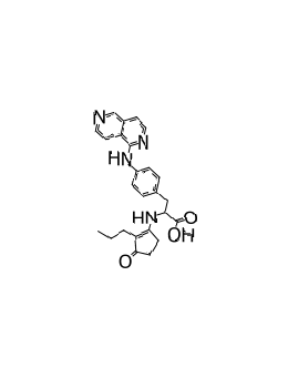 CCCC1=C(NC(Cc2ccc(Nc3nccc4cnccc34)cc2)C(=O)O)CCC1=O